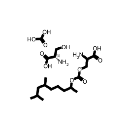 CC(C)CC(C)CCCC(C)OC(=O)OCC(N)C(=O)O.N[C@@H](CO)C(=O)O.O=C(O)O